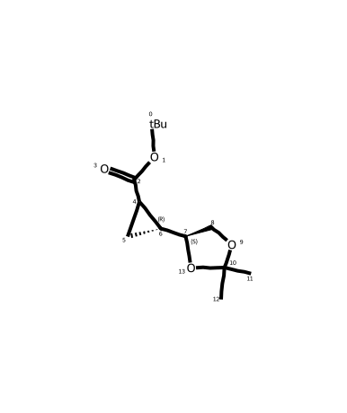 CC(C)(C)OC(=O)C1C[C@H]1[C@H]1COC(C)(C)O1